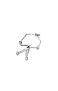 O=S1(=O)OCBCO1